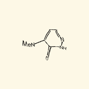 CNc1c[c]n[nH]c1=O